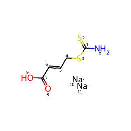 NC(=S)SCC=CC(=O)O.[Na].[Na]